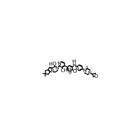 C[C@H]1CN(C2COC2)CCN1c1ccc(Nc2cc(-c3ccnc(N4CCn5c(cc6c5CC(C)(C)C6)C4O)c3C=O)cn(C)c2=O)nc1